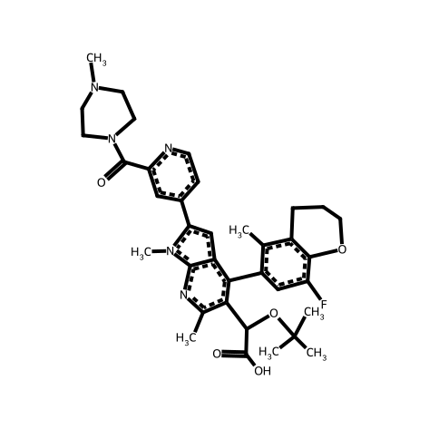 Cc1nc2c(cc(-c3ccnc(C(=O)N4CCN(C)CC4)c3)n2C)c(-c2cc(F)c3c(c2C)CCCO3)c1C(OC(C)(C)C)C(=O)O